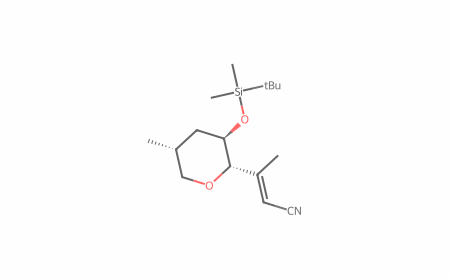 C/C(=C\C#N)[C@@H]1OC[C@H](C)C[C@H]1O[Si](C)(C)C(C)(C)C